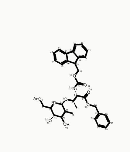 CC(=O)OCC1O[C@@H](O[C@H](C)[C@H](NC(=O)OCC2c3ccccc3-c3ccccc32)C(=O)OCc2ccccc2)C(C)C(O)[C@@H]1O